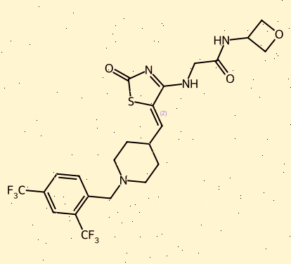 O=C(CNC1=NC(=O)S/C1=C\C1CCN(Cc2ccc(C(F)(F)F)cc2C(F)(F)F)CC1)NC1COC1